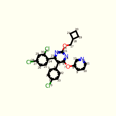 Clc1ccc(-c2c(Oc3cccnc3)nc(OCC3CCC3)nc2-c2ccc(Cl)cc2Cl)cc1